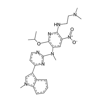 CC(C)Oc1nc(NCCN(C)C)c([N+](=O)[O-])cc1N(C)c1nccc(-c2cn(C)c3ccccc23)n1